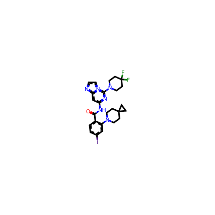 O=C(Nc1cc2nccn2c(N2CCC(F)(F)CC2)n1)c1ccc(I)cc1N1CCC2(CC1)CC2